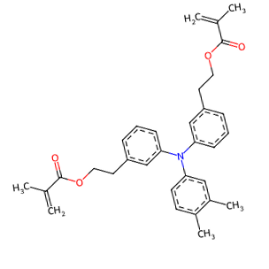 C=C(C)C(=O)OCCc1cccc(N(c2cccc(CCOC(=O)C(=C)C)c2)c2ccc(C)c(C)c2)c1